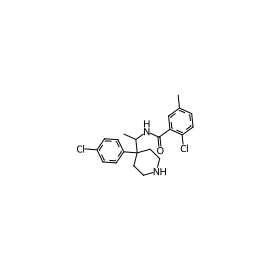 Cc1ccc(Cl)c(C(=O)NC(C)C2(c3ccc(Cl)cc3)CCNCC2)c1